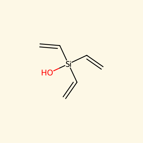 C=C[Si](O)(C=C)C=C